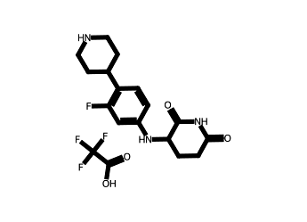 O=C(O)C(F)(F)F.O=C1CCC(Nc2ccc(C3CCNCC3)c(F)c2)C(=O)N1